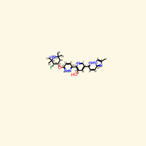 Cc1cn2nc(-c3cnc(-c4ccc(O[C@@H]5CC(C)(C)NC(C)(C)[C@@H]5F)nn4)c(O)c3)ccc2n1